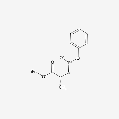 CC(C)OC(=O)[C@@H](C)N=[P+]([O-])Oc1ccccc1